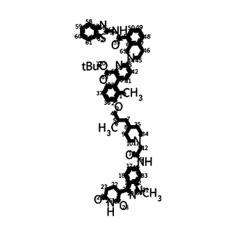 Cc1c(OC[C@H](C)CC2CCN(CC(=O)Nc3ccc4c(C5CCC(=O)NC5=O)nn(C)c4c3)CC2)cccc1-c1ccc(N2CCc3cccc(C(=O)Nc4nc5ccccc5s4)c3C2)nc1C(=O)OC(C)(C)C